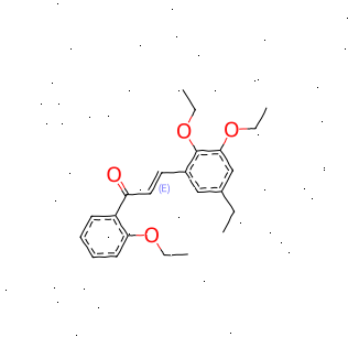 CCOc1ccccc1C(=O)/C=C/c1cc(CC)cc(OCC)c1OCC